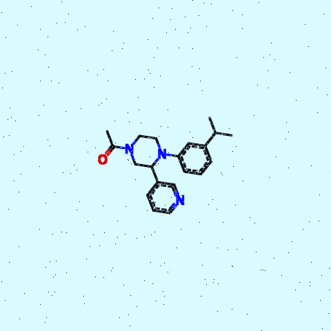 CC(=O)N1CCN(c2cccc(C(C)C)c2)C(c2cccnc2)C1